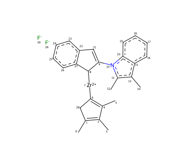 CC1=C(C)C(C)=[C]([Zr+2][CH]2C(n3c(C)c(C)c4ccccc43)=Cc3ccccc32)C1.[F-].[F-]